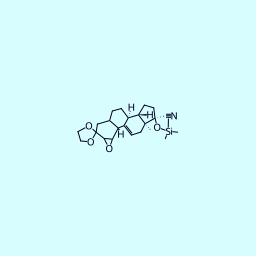 C[C@]12CC=C3[C@H]4C(CC[C@H]3[C@@H]1CC[C@@]2(C#N)O[Si](C)(C)C)CC1(OCCO1)C1OC14